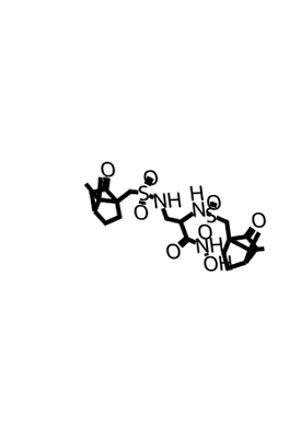 CC1(C)C2CCC1(CS(=O)(=O)NCC(NS(=O)(=O)CC13CCC(CC1=O)C3(C)C)C(=O)NO)C(=O)C2